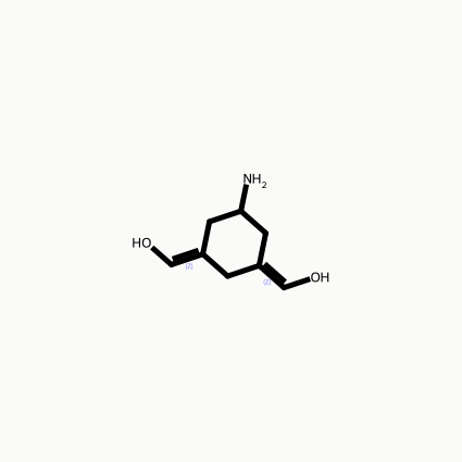 NC1C/C(=C\O)C/C(=C/O)C1